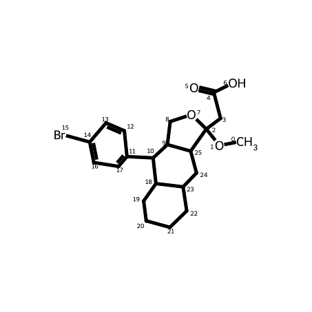 COC1(CC(=O)O)OCC2C(c3ccc(Br)cc3)C3CCCCC3CC21